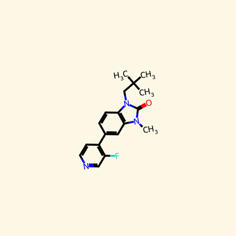 Cn1c(=O)n(CC(C)(C)C)c2ccc(-c3ccncc3F)cc21